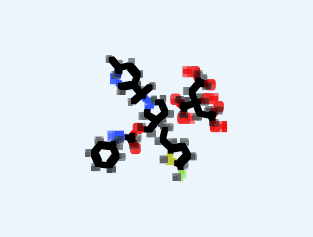 Cc1ccc(C(C)(C)N2CC[C@@](CCc3ccc(F)s3)(COC(=O)Nc3ccccc3)C2)cn1.O=C(O)CC(O)(CC(=O)O)C(=O)O